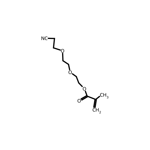 C=C(C)C(=O)OCCOCCOCCC#N